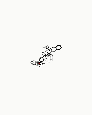 CCOc1cc(C(=O)N2C3COCC2CC(O)C3)ccc1C(=O)NC[C@@H](O)C1Cc2ccccc2CN1C(=O)O